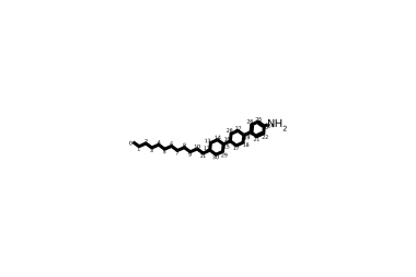 CCCCCCCCCCCCC1CCC(C2CCC(c3ccc(N)cc3)CC2)CC1